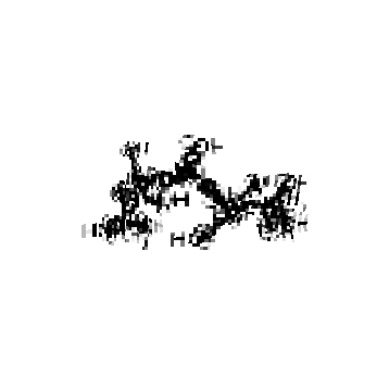 C\C(=C/C=C/C(CCCS(=O)(=O)O)=[N+](\CCCS(=O)(=O)O)c1ccc(S(=O)(=O)O)cc1C)N(CCCS(=O)(=O)O)c1cc(C(=O)NC2CCN(c3nc(N4CCC(NC(=O)c5cc(C(=O)OCCCS(=O)(=O)O)c(C)c(N(CCCS(=O)(=O)O)/C(C)=C/C=C/C(CCCS(=O)(=O)O)=[N+](\CCCS(=O)(=O)O)c6ccc(S(=O)(=O)O)cc6C)c5)CC4)nc(N4CCC(C(=O)O)CC4)n3)CC2)cc(C(=O)OCCCS(=O)(=O)O)c1C